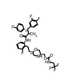 C[C@H](C(=O)Nc1cccc(F)c1CC[C@@H]1CN[C@H](COC(=O)NCC(F)(F)F)CO1)[C@H](c1ccc(F)cc1)c1ccc(F)c(F)c1